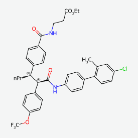 CCC[C@@H](c1ccc(C(=O)NCCC(=O)OCC)cc1)[C@@H](C(=O)Nc1ccc(-c2ccc(Cl)cc2C)cc1)c1ccc(OC(F)(F)F)cc1